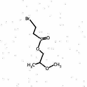 COC(C)COS(=O)CCBr